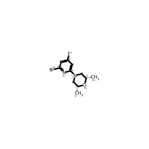 C[C@@H]1CN(c2cc(F)cc(Br)n2)C[C@H](C)O1